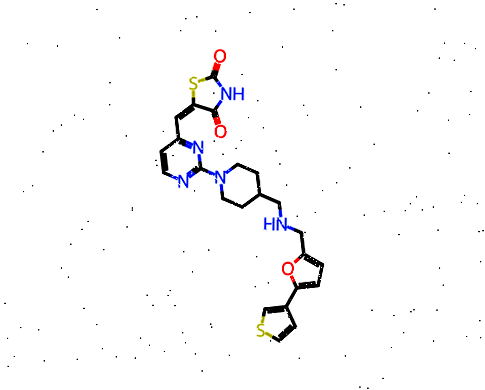 O=C1NC(=O)/C(=C\c2ccnc(N3CCC(CNCc4ccc(-c5ccsc5)o4)CC3)n2)S1